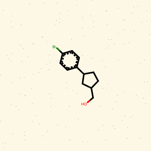 OCC1CCC(c2ccc(Br)cc2)C1